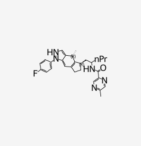 CCCC(C[C@H]1CCC2=C1[C@@H](C)C1=CNN(c3ccc(F)cc3)C1=C2)NC(=O)c1cnc(C)cn1